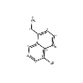 CCCc1cccc2c(CC(C)=O)ccnc12